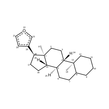 C[C@]12CC[C@H]3[C@@H](CCC4CCCC[C@@]43C)[C@@H]1CC[C@H]2c1ccoc1